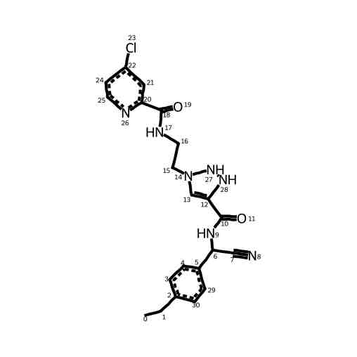 CCc1ccc(C(C#N)NC(=O)C2=CN(CCNC(=O)c3cc(Cl)ccn3)NN2)cc1